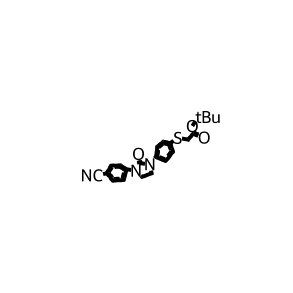 CC(C)(C)OC(=O)CSc1ccc(N2CCN(c3ccc(C#N)cc3)C2=O)cc1